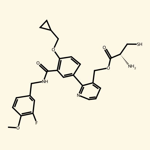 COc1ccc(CNC(=O)c2cc(-c3ncccc3COC(=O)[C@@H](N)CS)ccc2OCC2CC2)cc1F